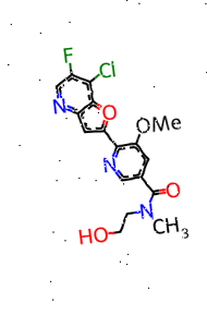 COc1cc(C(=O)N(C)CCO)cnc1-c1cc2ncc(F)c(Cl)c2o1